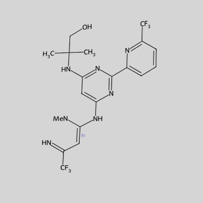 CN/C(=C\C(=N)C(F)(F)F)Nc1cc(NC(C)(C)CO)nc(-c2cccc(C(F)(F)F)n2)n1